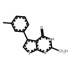 CCOC(=O)c1nc2scc(-c3cccc(C)c3)c2c(=O)[nH]1